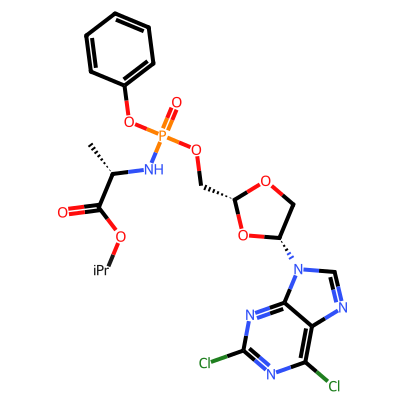 CC(C)OC(=O)[C@H](C)NP(=O)(OC[C@@H]1OC[C@H](n2cnc3c(Cl)nc(Cl)nc32)O1)Oc1ccccc1